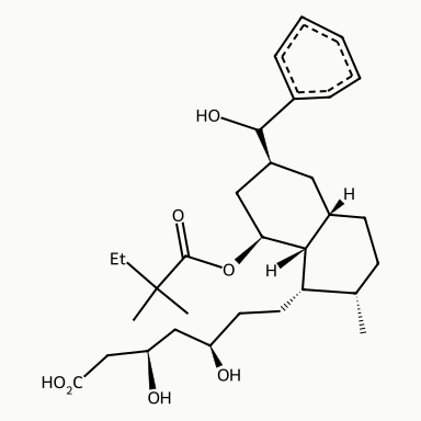 CCC(C)(C)C(=O)O[C@H]1C[C@@H](C(O)c2ccccc2)C[C@@H]2CC[C@H](C)[C@H](CC[C@@H](O)C[C@@H](O)CC(=O)O)[C@@H]21